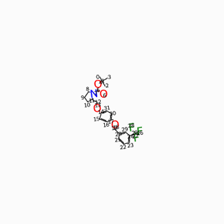 CC(C)(C)OC(=O)N1CCCC1COc1ccc(OCc2cccc(C(F)(F)F)c2)cc1